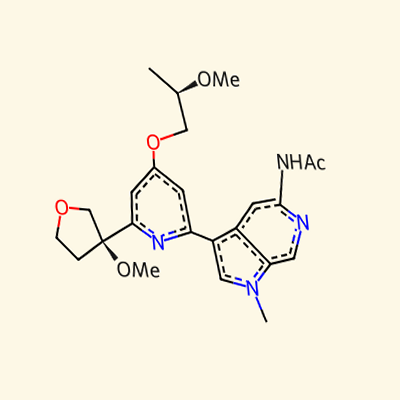 CO[C@H](C)COc1cc(-c2cn(C)c3cnc(NC(C)=O)cc23)nc([C@]2(OC)CCOC2)c1